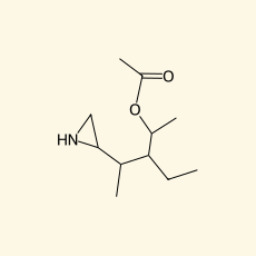 CCC(C(C)OC(C)=O)C(C)C1CN1